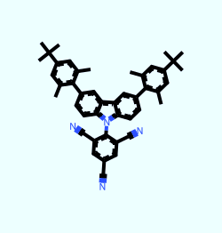 Cc1cc(C(C)(C)C)cc(C)c1-c1ccc2c(c1)c1cc(-c3c(C)cc(C(C)(C)C)cc3C)ccc1n2-c1c(C#N)cc(C#N)cc1C#N